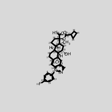 C[C@]12Cc3cnn(-c4ccc(F)cc4)c3C=C1CC[C@@H]1[C@@H]2[C@@H](O)C[C@@]2(C)[C@H]1CC[C@]2(OC(=O)C1CCC1)C(=O)S